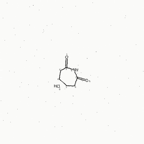 Cl.O=C1CCCCC(=O)N1